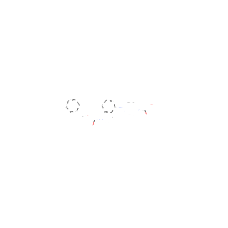 CC(C)(C)OC(=O)N1CCN(c2cccc3c2CCN3C(=O)OCc2ccccc2)CC1